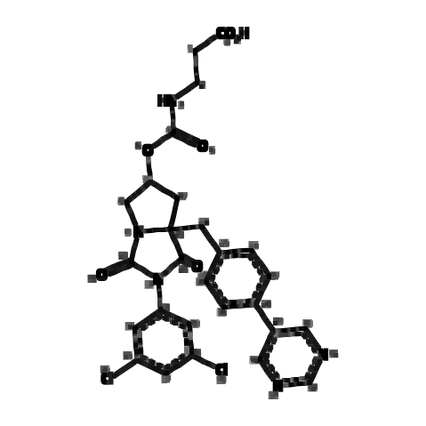 O=C(O)CCNC(=O)OC1CN2C(=O)N(c3cc(Cl)cc(Cl)c3)C(=O)C2(Cc2ccc(-c3cncnc3)cc2)C1